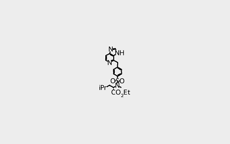 CCOC(=O)[C@H](CC(C)C)N(C)S(=O)(=O)c1ccc(Cc2nccc3nc[nH]c23)cc1